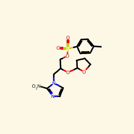 Cc1ccc(S(=O)(=O)OCC(Cn2ccnc2[N+](=O)[O-])OC2CCCO2)cc1